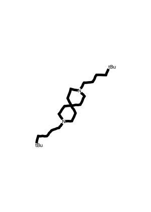 CC(C)(C)CCCCN1CCC2(CC1)CCN(CCCCC(C)(C)C)CC2